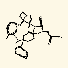 CCC(C)(N1C(=O)N(CC(=O)O)CC12CCC(c1ccccc1)(N(C)c1ccccc1C)CC2)C1(O)CCC1